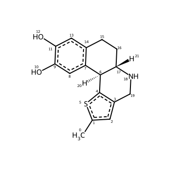 Cc1cc2c(s1)[C@H]1c3cc(O)c(O)cc3CC[C@@H]1NC2